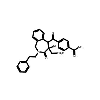 N=C(N)c1ccc(C(=O)C2c3ccccc3CN(CCc3ccccc3)C(=O)C2(N)CC(=O)O)cc1